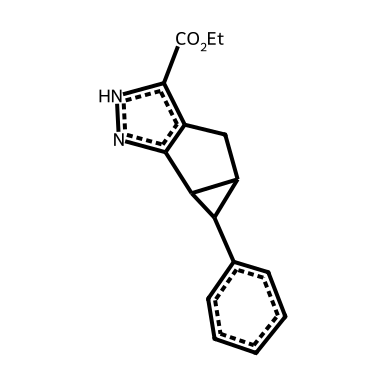 CCOC(=O)c1[nH]nc2c1CC1C(c3ccccc3)C21